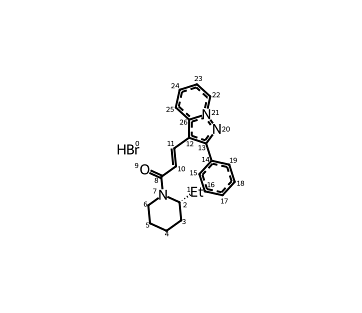 Br.CC[C@@H]1CCCCN1C(=O)/C=C/c1c(-c2ccccc2)nn2ccccc12